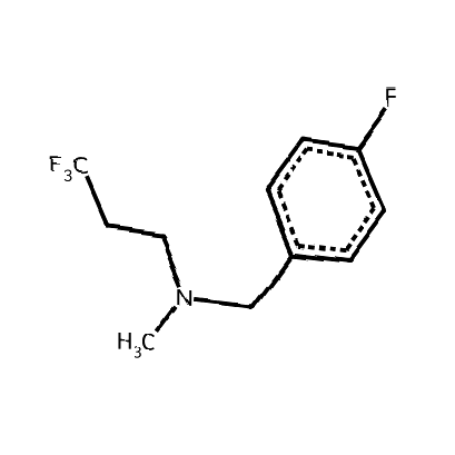 CN(CCC(F)(F)F)Cc1ccc(F)cc1